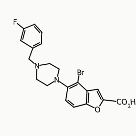 O=C(O)c1cc2c(Br)c(N3CCN(Cc4cccc(F)c4)CC3)ccc2o1